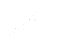 CCCCCCCc1ccc(-c2ccc(NC(=O)OC(C)(C)C)cc2)nc1